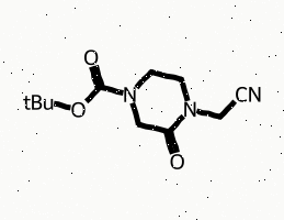 CC(C)(C)OC(=O)N1CCN(CC#N)C(=O)C1